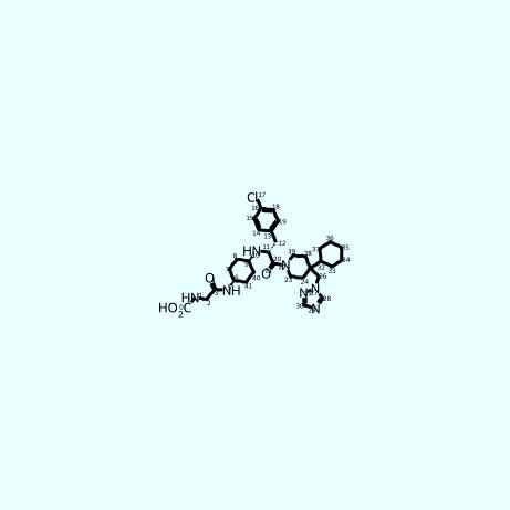 O=C(O)NCC(=O)N[C@H]1CC[C@@H](N[C@H](Cc2ccc(Cl)cc2)C(=O)N2CCC(Cn3cncn3)(C3CCCCC3)CC2)CC1